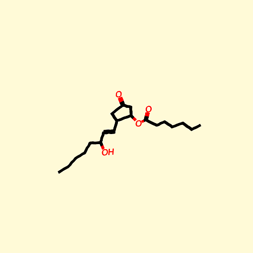 CCCCCCC(=O)OC1CC(=O)CC1C=CC(O)CCCCC